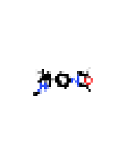 CCN1C[C@H]2C[C@@]2(C2=CCC(N3C[C@H](C)O[C@@H](C)C3)C=C2)C1